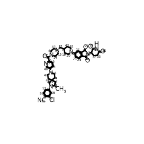 C[C@H]1CC2(CCN(c3ccc(C(=O)N4CCN(CC5CCN(c6ccc7c(c6)C(=O)N(C6CCC(=O)NC6=O)C7=O)CC5)CC4)nc3)CC2)CN1c1ccc(C#N)c(Cl)c1